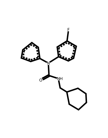 O=C(NCC1CCCCC1)N(c1ccccc1)c1cccc(F)c1